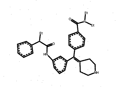 CCC(C(=O)Nc1cccc(C(=C2CCNCC2)c2ccc(C(=O)N(CC)CC)cc2)c1)c1ccccc1